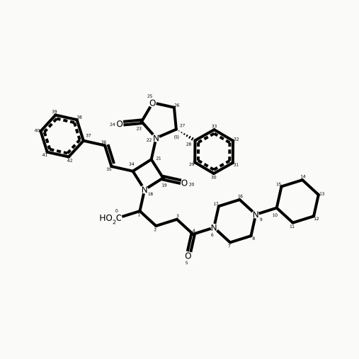 O=C(O)C(CCC(=O)N1CCN(C2CCCCC2)CC1)N1C(=O)C(N2C(=O)OC[C@@H]2c2ccccc2)C1C=Cc1ccccc1